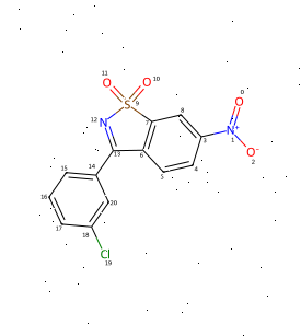 O=[N+]([O-])c1ccc2c(c1)S(=O)(=O)N=C2c1cccc(Cl)c1